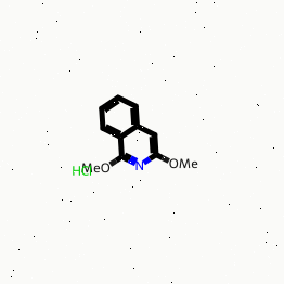 COc1cc2ccccc2c(OC)n1.Cl